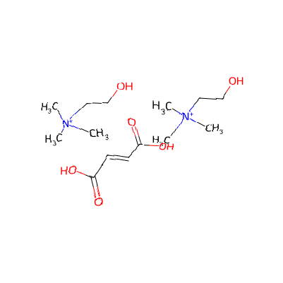 C[N+](C)(C)CCO.C[N+](C)(C)CCO.O=C(O)/C=C/C(=O)O